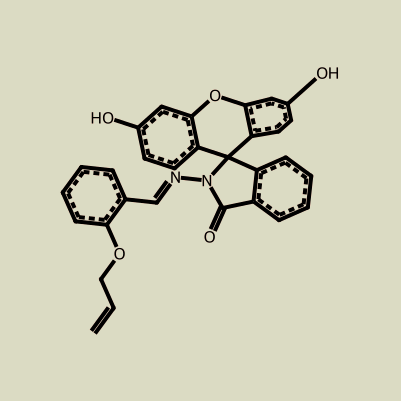 C=CCOc1ccccc1C=NN1C(=O)c2ccccc2C12c1ccc(O)cc1Oc1cc(O)ccc12